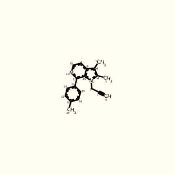 C#CCn1c(C)c(C)c2ccnc(-c3ccc(C)cc3)c21